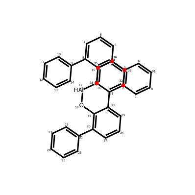 c1ccc(-c2cccc(-c3ccccc3)c2[O][AlH][O]c2c(-c3ccccc3)cccc2-c2ccccc2)cc1